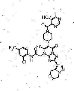 CCc1c(N2CCN(C(=O)c3ncnc(C)c3O)CC2)c(=O)n2nc(-c3cnn4c3COCC4)nc2n1CC(=O)Nc1ccc(C(F)(F)F)cc1Cl